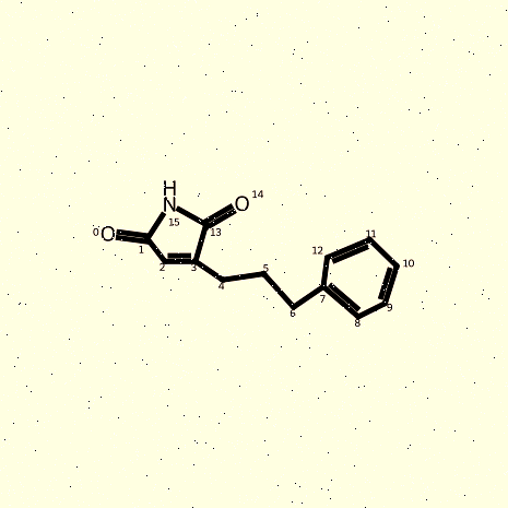 O=C1C=C(CCCc2ccccc2)C(=O)N1